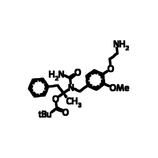 COc1cc(CN(C(N)=O)[C@@](C)(Cc2ccccc2)OC(=O)C(C)(C)C)ccc1OCCN